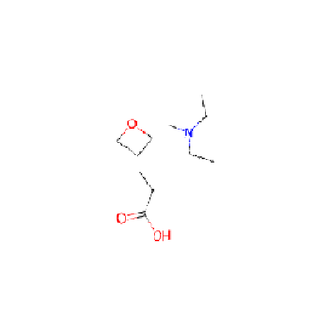 C1COC1.CCC(=O)O.CCN(C)CC